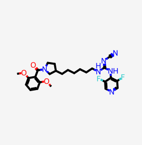 COc1cccc(OC)c1C(=O)N1CCC(CCCCCCNC(=NC#N)Nc2c(F)cncc2F)C1